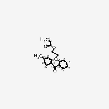 C=CC(=O)OCCOc1ccccc1C(=O)c1ccc(C)cc1